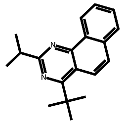 CC(C)c1nc(C(C)(C)C)c2ccc3ccccc3c2n1